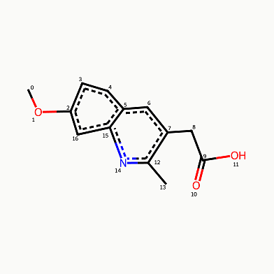 COc1ccc2cc(CC(=O)O)c(C)nc2c1